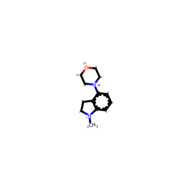 CN1CCc2c1cccc2N1CCOCC1